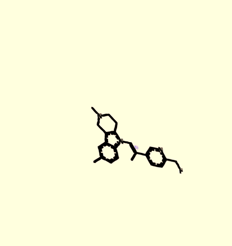 C/C(=C\n1c2c(c3cc(C)ccc31)CN(C)CC2)c1ccc(CF)nc1